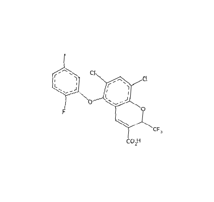 Cc1ccc(F)c(Oc2c(Cl)cc(Cl)c3c2C=C(C(=O)O)C(C(F)(F)F)O3)c1